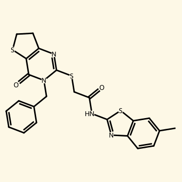 Cc1ccc2nc(NC(=O)CSc3nc4c(c(=O)n3Cc3ccccc3)SCC4)sc2c1